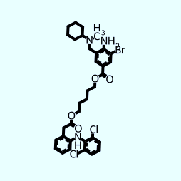 CN(Cc1cc(C(=O)OCCCCCOC(=O)Cc2ccccc2Nc2c(Cl)cccc2Cl)cc(Br)c1N)C1CCCCC1